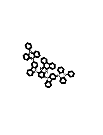 c1ccc(N2c3ccccc3N(c3ccc4c(c3)c3ccccc3n4-c3ccc(-n4c5ccccc5c5cc(N6c7ccccc7N(c7ccccc7)c7ccccc76)ccc54)c4nc5c6ccccc6c6ccccc6c5nc34)c3ccccc32)cc1